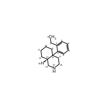 CCc1ccccc1C12CCCC[C@H]1CNCC2